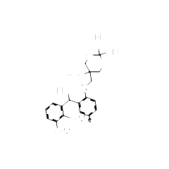 COc1cccc(C(O)c2cc(Cl)ccc2NCC2(C)COC(C)(C)OC2)c1OC